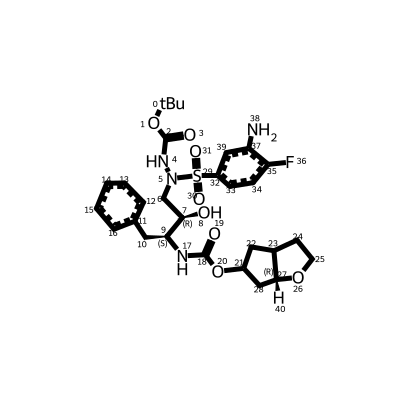 CC(C)(C)OC(=O)NN(C[C@@H](O)[C@H](Cc1ccccc1)NC(=O)OC1CC2CCO[C@@H]2C1)S(=O)(=O)c1ccc(F)c(N)c1